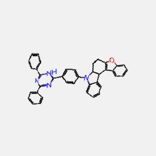 c1ccc(C2=NC(c3ccc(N4c5ccccc5C5c6c(oc7ccccc67)CCC54)cc3)NC(c3ccccc3)=N2)cc1